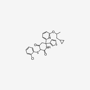 CC(CC1CC1)Oc1cccc(C2(c3ccsc3)CC(=O)C(Sc3ccccc3Cl)C(=O)N2)n1